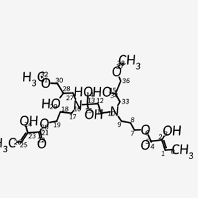 CC=C(O)C(=O)OCCCN(CCC(O)(O)N(CCCOC(=O)C(O)=CC)CC(O)COC)CC(O)COC